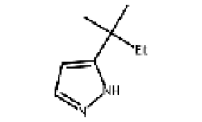 CCC(C)(C)c1ccn[nH]1